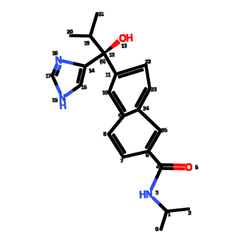 CC(C)NC(=O)c1ccc2cc([C@](O)(c3c[nH]cn3)C(C)C)ccc2c1